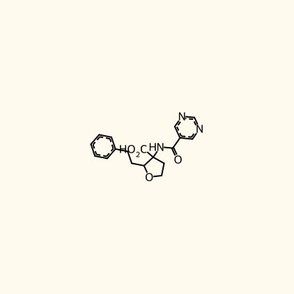 O=C(NC1(C(=O)O)CCOC1CCc1ccccc1)c1cncnc1